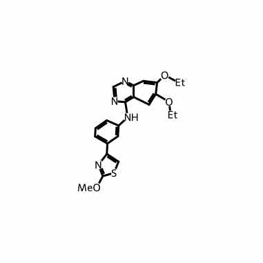 CCOc1cc2ncnc(Nc3cccc(-c4csc(OC)n4)c3)c2cc1OCC